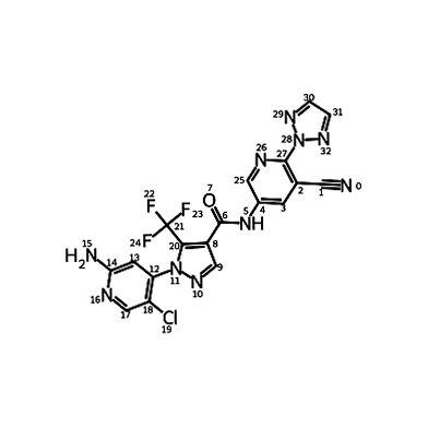 N#Cc1cc(NC(=O)c2cnn(-c3cc(N)ncc3Cl)c2C(F)(F)F)cnc1-n1nccn1